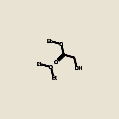 CCOC(=O)CO.CCOCC